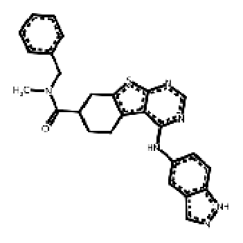 CN(Cc1ccccc1)C(=O)C1CCc2c(sc3ncnc(Nc4ccc5[nH]ncc5c4)c23)C1